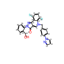 O=c1c2cn(Cc3ccc(-n4cccn4)cc3)c3c(F)ccc(F)c3c-2nn1-c1ccccc1CO